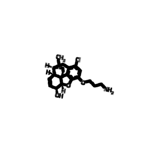 CN1CC[C@]23c4c5c(Cl)cc(OCCCN)c4O[C@H]2[C@@H](O)C=C[C@H]3[C@H]1C5